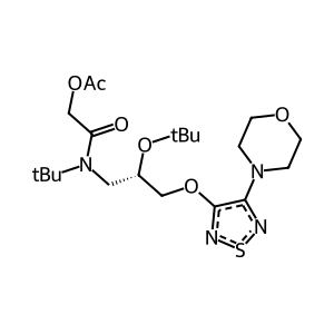 CC(=O)OCC(=O)N(C[C@@H](COc1nsnc1N1CCOCC1)OC(C)(C)C)C(C)(C)C